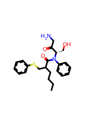 CCCCC(CSc1ccccc1)C(=O)N(c1ccccc1)[C@@H](CO)C(=O)CN